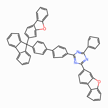 c1ccc(-c2nc(-c3ccc(-c4ccc(C5(c6ccc7c(c6)oc6ccccc67)c6ccccc6-c6ccccc65)cc4)cc3)nc(-c3ccc4c(c3)oc3ccccc34)n2)cc1